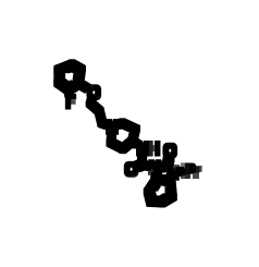 CC(C)n1c(=O)n(C(=O)NC2CCN(CCCOc3ccccc3F)CC2)c2ccccc21